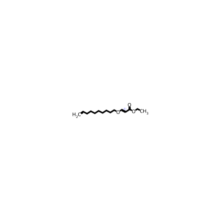 C=CCCCCCCCCO/C=C/C(=O)OCC